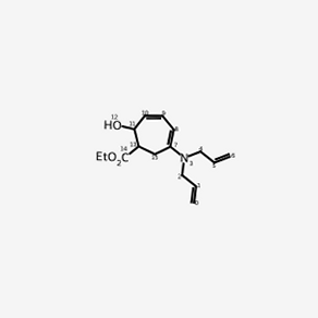 C=CCN(CC=C)C1=CC=CC(O)C(C(=O)OCC)C1